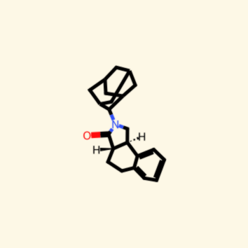 O=C1[C@H]2CCc3ccccc3[C@@H]2CN1C1C2CC3CC(C2)CC1C3